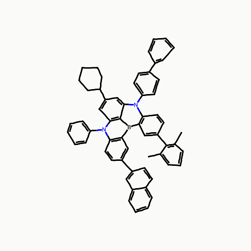 Cc1cccc(C)c1-c1ccc2c(c1)B1c3cc(-c4ccc5ccccc5c4)ccc3N(c3ccccc3)c3cc(C4CCCCC4)cc(c31)N2c1ccc(-c2ccccc2)cc1